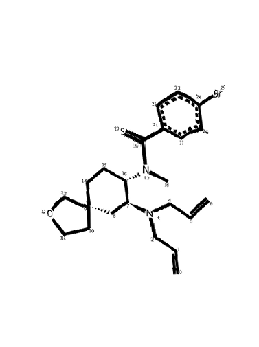 C=CCN(CC=C)[C@H]1C[C@@]2(CCOC2)CC[C@@H]1N(C)C(=S)c1ccc(Br)cc1